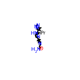 Cc1c(-c2[nH]c3ccc(C4CC5(C4)CN(CCC(N)=O)C5)nc3c2C(C)C)cn2ncnc2c1C